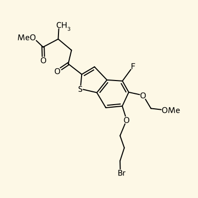 COCOc1c(OCCCBr)cc2sc(C(=O)CC(C)C(=O)OC)cc2c1F